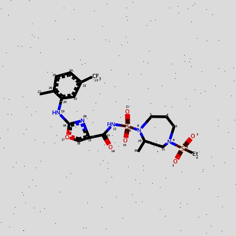 CCS(=O)(=O)N1CCCN(S(=O)(=O)NC(=O)c2coc(Nc3cc(C(F)(F)F)ccc3C)n2)C(C)C1